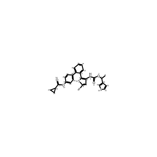 CC(OC(=O)Nc1cc(F)sc1-c1ccccc1-c1ccc(OC(=O)C2CC2)cc1)c1ccsc1